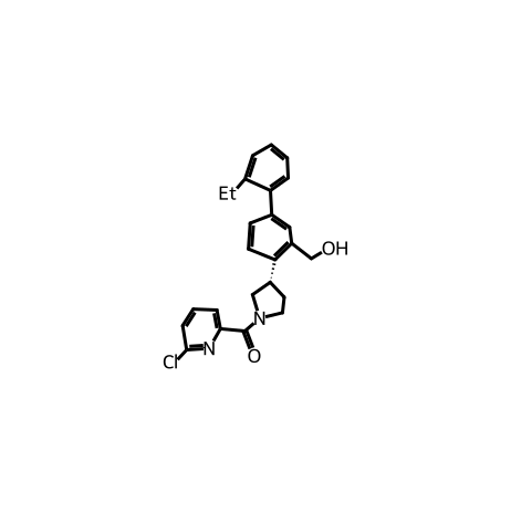 CCc1ccccc1-c1ccc([C@@H]2CCN(C(=O)c3cccc(Cl)n3)C2)c(CO)c1